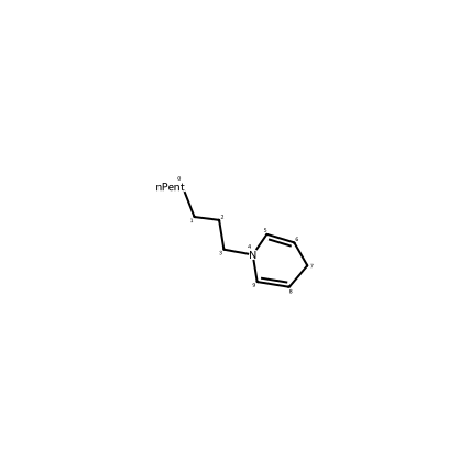 CCCCCCCCN1C=CCC=C1